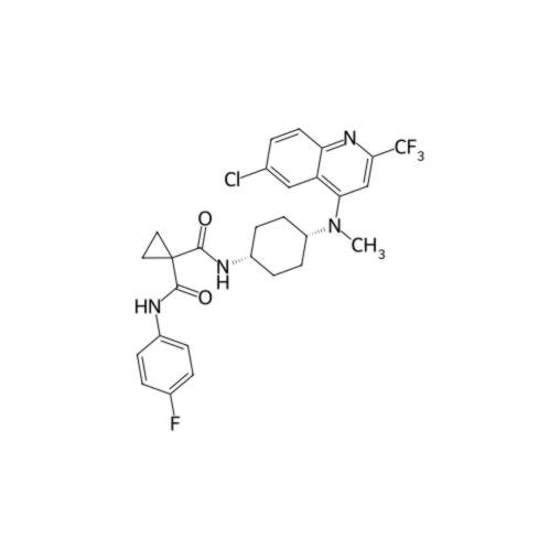 CN(c1cc(C(F)(F)F)nc2ccc(Cl)cc12)[C@H]1CC[C@@H](NC(=O)C2(C(=O)Nc3ccc(F)cc3)CC2)CC1